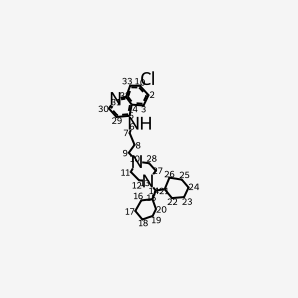 Clc1ccc2c(NCCCN3CCN(C(C4CCCCC4)C4CCCCC4)CC3)ccnc2c1